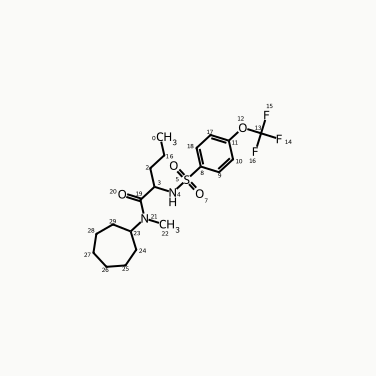 CCCC(NS(=O)(=O)c1ccc(OC(F)(F)F)cc1)C(=O)N(C)C1CCCCCC1